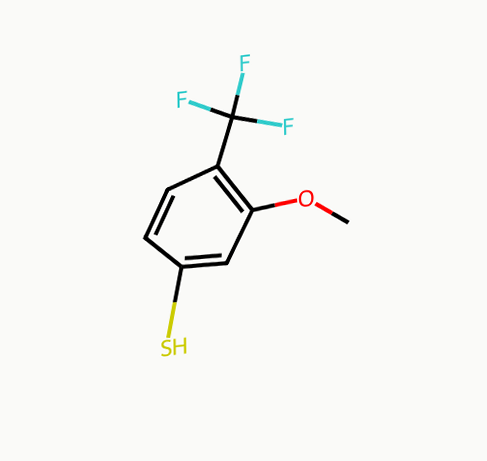 COc1cc(S)ccc1C(F)(F)F